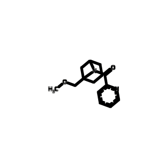 COCC12CCCC(C1)N2C(=O)c1ccccn1